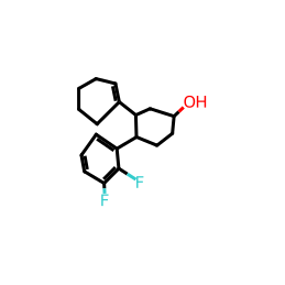 OC1CCC(c2cccc(F)c2F)C(C2=CCCCC2)C1